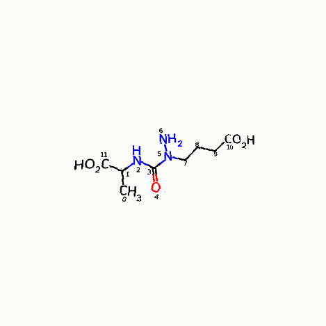 CC(NC(=O)N(N)CCCC(=O)O)C(=O)O